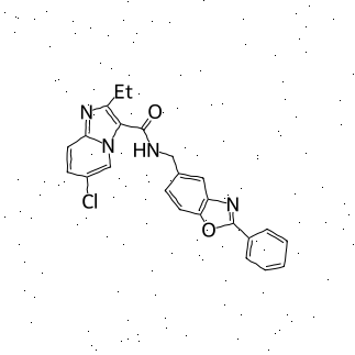 CCc1nc2ccc(Cl)cn2c1C(=O)NCc1ccc2oc(-c3ccccc3)nc2c1